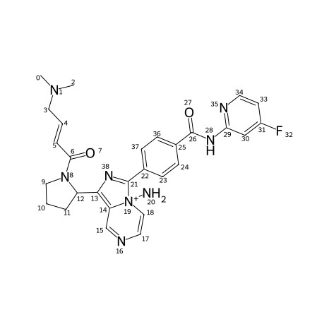 CN(C)C/C=C/C(=O)N1CCCC1C1=C2C=NC=C[N+]2(N)C(c2ccc(C(=O)Nc3cc(F)ccn3)cc2)=N1